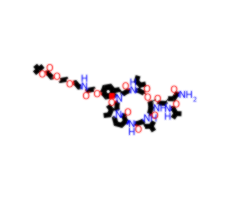 CCC(C)[C@@H]1NC(=O)[C@H](Cc2ccc(OCC(=O)NCCOCCOCC(=O)OC(C)(C)C)cc2)N(C)C(=O)[C@H](C(C)CC)N2CCCC(NC(=O)[C@H](CC(C)C)NC(=O)[C@@H](NC(=O)[C@H](CCC(N)=O)NC(=O)C(C)C)[C@@H](C)OC1=O)C2=O